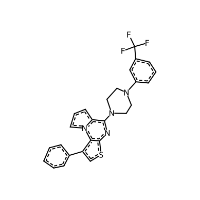 FC(F)(F)c1cccc(N2CCN(c3nc4scc(-c5ccccc5)c4n4cccc34)CC2)c1